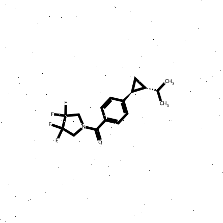 CC(C)[C@H]1C[C@@H]1c1ccc(C(=O)N2CC(F)(F)C(F)(F)C2)cc1